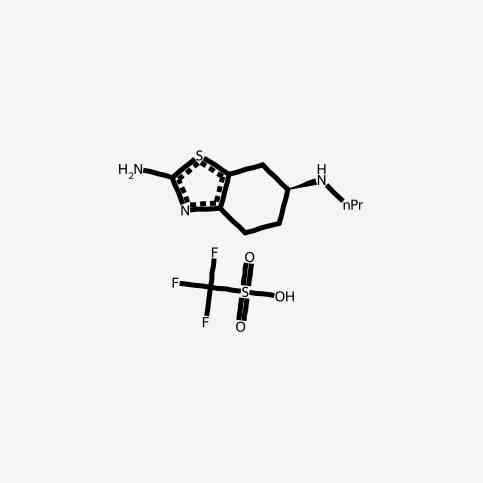 CCCN[C@H]1CCc2nc(N)sc2C1.O=S(=O)(O)C(F)(F)F